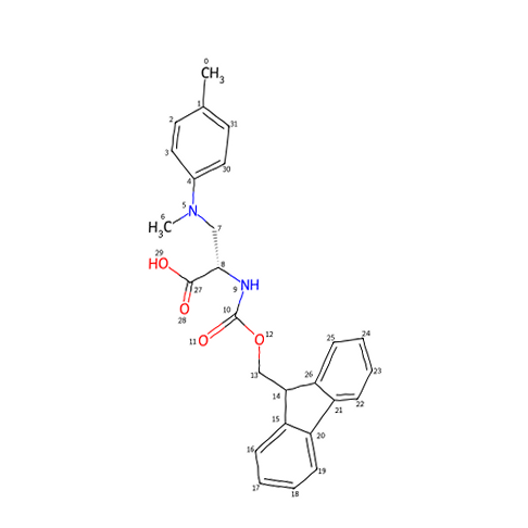 Cc1ccc(N(C)C[C@H](NC(=O)OCC2c3ccccc3-c3ccccc32)C(=O)O)cc1